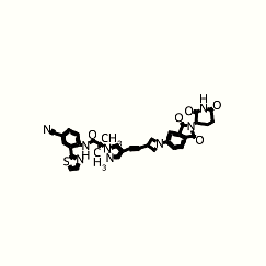 CC(C)(C(=O)Nc1ccc(C#N)cc1-c1nccs1)n1cc(C#CC2CN(c3ccc4c(c3)C(=O)N(C3CCC(=O)NC3=O)C4=O)C2)cn1